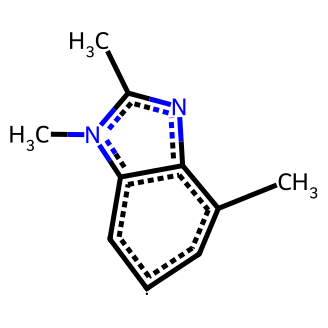 Cc1c[c]cc2c1nc(C)n2C